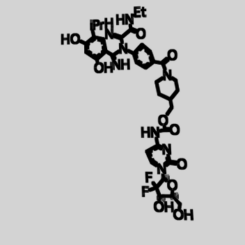 CCNC(=O)C(=N)N(C(=N)c1cc(C(C)C)c(O)cc1O)c1ccc(C(=O)N2CCC(COC(=O)Nc3ccn([C@H]4O[C@@H](CO)[C@@H](O)C4(F)F)c(=O)n3)CC2)cc1